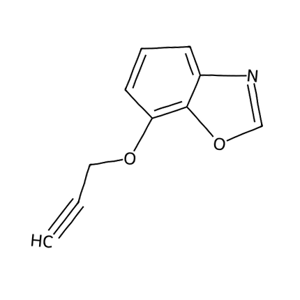 C#CCOc1cccc2ncoc12